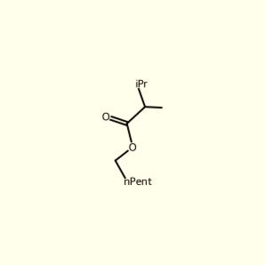 CCCCCCOC(=O)C(C)C(C)C